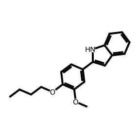 CCCCOc1ccc(-c2cc3ccccc3[nH]2)cc1OC